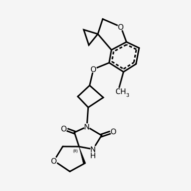 Cc1ccc2c(c1OC1CC(N3C(=O)N[C@@]4(CCOC4)C3=O)C1)C1(CC1)CO2